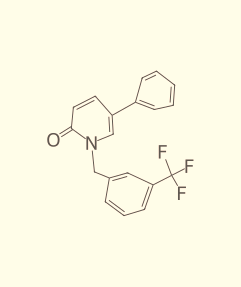 O=c1ccc(-c2ccccc2)cn1Cc1cccc(C(F)(F)F)c1